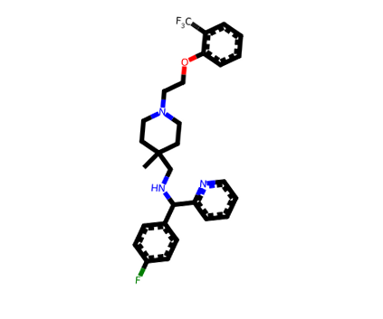 CC1(CNC(c2ccc(F)cc2)c2ccccn2)CCN(CCOc2ccccc2C(F)(F)F)CC1